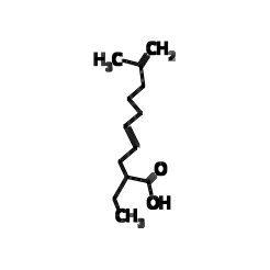 C=C(C)CCCC=CCC(CC)C(=O)O